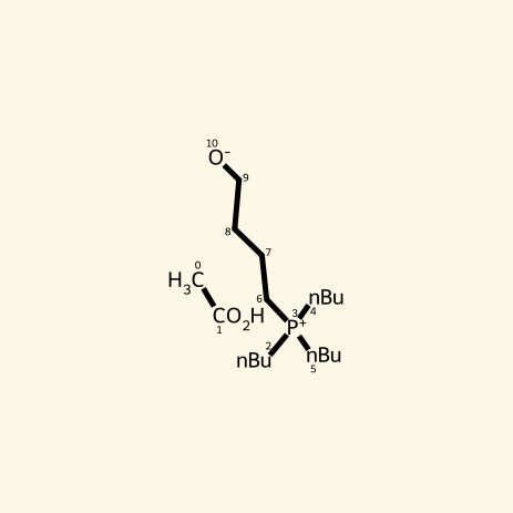 CC(=O)O.CCCC[P+](CCCC)(CCCC)CCCC[O-]